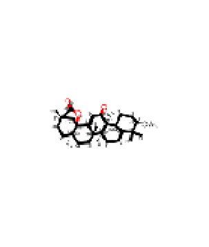 CC(=O)O[C@H]1CC[C@@]2(C)C(CC[C@]3(C)C2C(=O)C=C2C45C[C@](C)(CC[C@]4(C)CC[C@]23C)C(=O)O5)C1(C)C